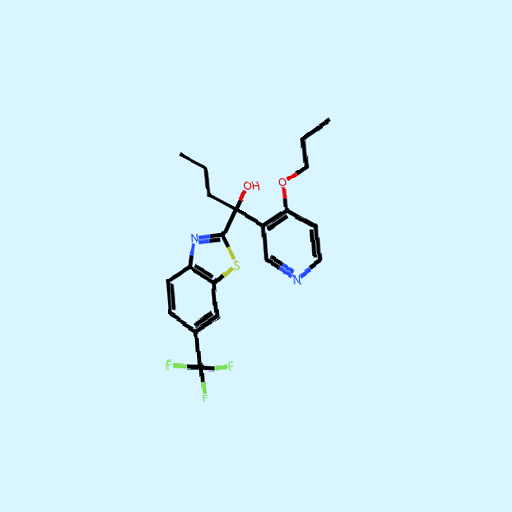 CCCOc1ccncc1C(O)(CCC)c1nc2ccc(C(F)(F)F)cc2s1